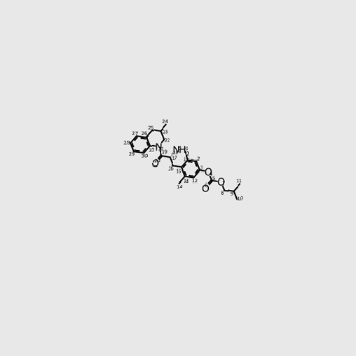 Cc1cc(OC(=O)OCC(C)C)cc(C)c1C[C@@H](N)C(=O)N1CC(C)Cc2ccccc21